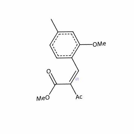 COC(=O)/C(=C\c1ccc(C)cc1OC)C(C)=O